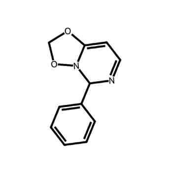 C1=NC(c2ccccc2)N2OCOC2=C1